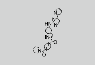 O=C(c1cc2cc(Nc3nccc(-c4ccccn4)n3)ccc2[nH]1)N1CCN(C(=O)N2CCCCC2)CC1